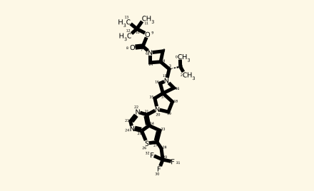 CC(C)[C@@H](C1CN(C(=O)OC(C)(C)C)C1)N1CC2(CCN(c3ncnc4sc(CC(F)(F)F)cc34)C2)C1